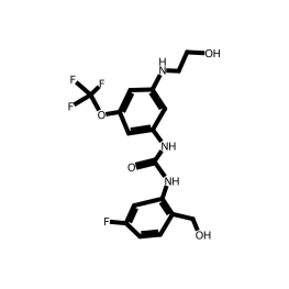 O=C(Nc1cc(NCCO)cc(OC(F)(F)F)c1)Nc1cc(F)ccc1CO